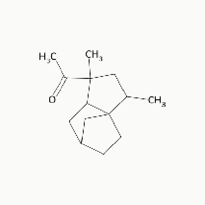 CC(=O)C1(C)CC(C)C23CCC(CC12)C3